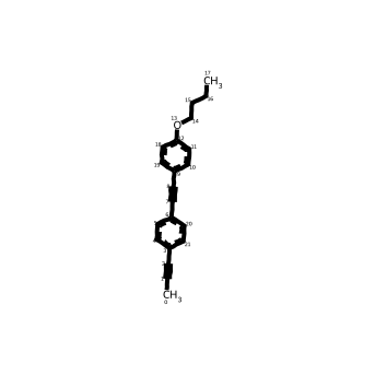 CC#Cc1ccc(C#Cc2ccc(OCCCC)cc2)cc1